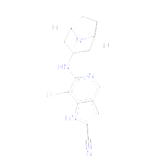 CN1[C@@H]2CC[C@H]1CC(Nc1ncc3cc(C#N)[nH]c3c1Br)C2